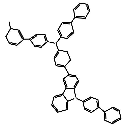 CC1C=C(c2ccc(N(C3=CC=C(c4ccc5c(c4)c4ccccc4n5-c4ccc(-c5ccccc5)cc4)CC3)c3ccc(-c4ccccc4)cc3)cc2)C=CC1